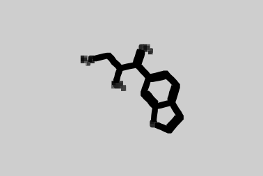 C=C(c1ccc2ccoc2c1)C(N)CC